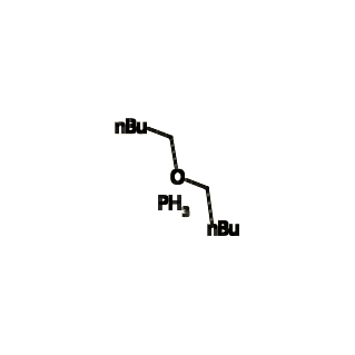 CCCCCOCCCCC.P